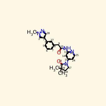 Cn1cc(-c2cccc(CC(=O)Nc3cc(N4CCC(C)(C)C4=O)ccn3)c2)cn1